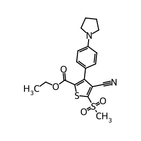 CCOC(=O)c1sc(S(C)(=O)=O)c(C#N)c1-c1ccc(N2CCCC2)cc1